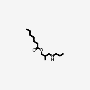 CCCCCCC(=O)OCC(C)CNCCC